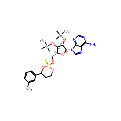 CC(C)(C)[Si](C)(C)O[C@@H]1[C@H](O[Si](C)(C)C(C)(C)C)[C@@H](COP2(=S)OCCC(c3cccc(C(F)(F)F)c3)O2)O[C@H]1n1cnc2c(N)ncnc21